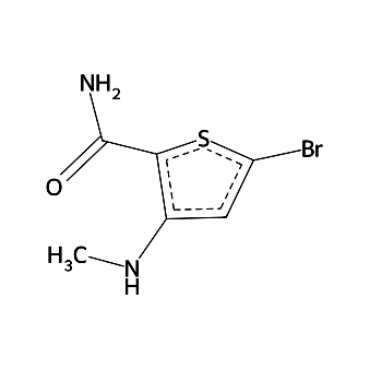 CNc1cc(Br)sc1C(N)=O